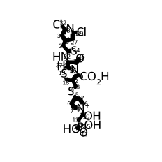 O=C(O)C1=C(CSc2cc[n+](C(O)CP(=O)(O)O)cc2)CS[C@@H]2[C@@H](NC(=S)Cc3cc(Cl)nc(Cl)c3)C(=O)N12